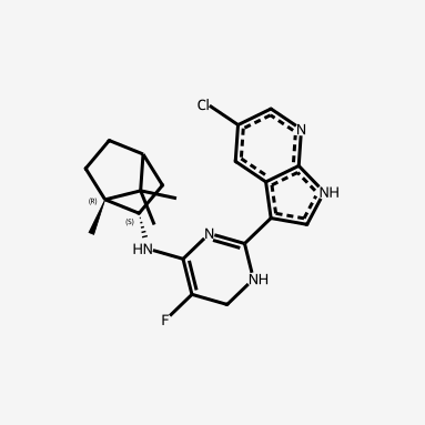 CC1(C)C2CC[C@@]1(C)[C@@H](NC1=C(F)CNC(c3c[nH]c4ncc(Cl)cc34)=N1)C2